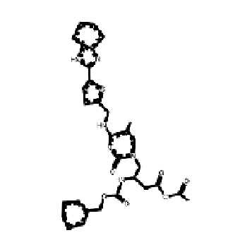 CC(=O)OC(=O)CC(Cn1cc(C)c(NCc2ccc(-c3nc4ccccc4[nH]3)s2)nc1=O)NC(=O)OCc1ccccc1